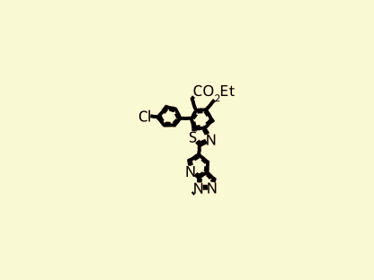 CCOC(=O)Cc1c(C)cc2nc(-c3cnc4c(cnn4C)c3)sc2c1-c1ccc(Cl)cc1